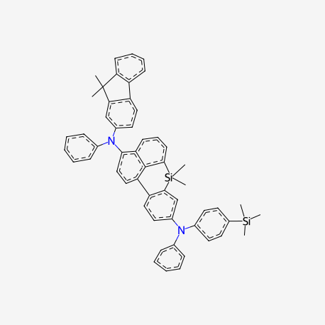 CC1(C)c2ccccc2-c2ccc(N(c3ccccc3)c3ccc4c5c(cccc35)[Si](C)(C)c3cc(N(c5ccccc5)c5ccc([Si](C)(C)C)cc5)ccc3-4)cc21